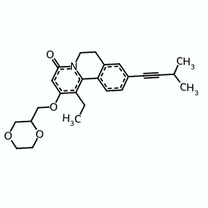 CCc1c(OCC2COCCO2)cc(=O)n2c1-c1ccc(C#CC(C)C)cc1CC2